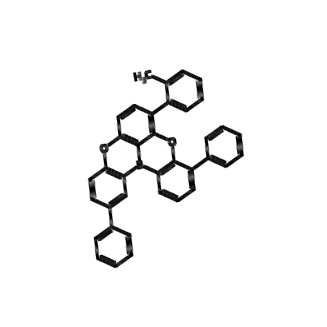 Cc1ccccc1-c1ccc2c3c1Oc1c(cccc1-c1ccccc1)B3c1cc(-c3ccccc3)ccc1O2